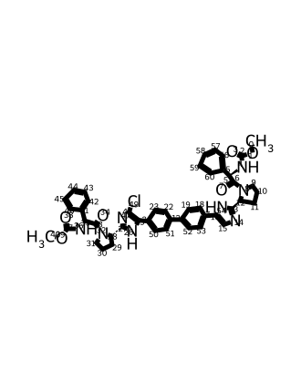 COC(=O)N[C@@H](C(=O)N1CCC[C@H]1c1ncc(-c2ccc(-c3ccc(-c4[nH]c([C@@H]5CCCN5C(=O)[C@H](NC(=O)OC)c5ccccc5)nc4Cl)cc3)cc2)[nH]1)c1ccccc1